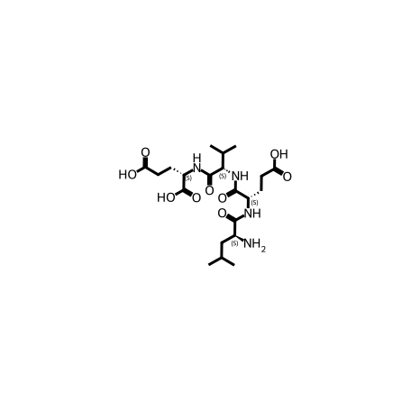 CC(C)C[C@H](N)C(=O)N[C@@H](CCC(=O)O)C(=O)N[C@H](C(=O)N[C@@H](CCC(=O)O)C(=O)O)C(C)C